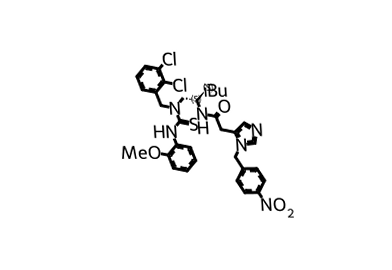 CC[C@H](C)[C@@H](CN(Cc1cccc(Cl)c1Cl)C(=S)Nc1ccccc1OC)NC(=O)Cc1cncn1Cc1ccc([N+](=O)[O-])cc1